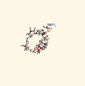 C=C1C[C@@H]2CC[C@@]34C[C@@H]5O[C@H]6[C@@H](O3)[C@H]3OC(CC[C@@H]3O[C@H]6C5O4)CC(=O)C[C@@H]3[C@@H](OC)[C@@H](C[C@H](O)CN)O[C@H]3CC3O[C@@H](CCC1O2)C[C@@H](C)C3=C